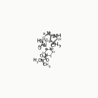 C[C@@H]1CCN(S(=O)(=O)N(C)C)C[C@@H]1n1c(=O)[nH]c2cnc3[nH]ccc3c21